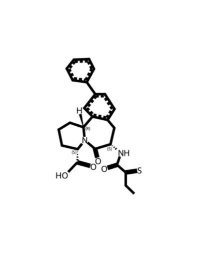 CCC(=S)C(=O)N[C@H]1Cc2ccc(-c3ccccc3)cc2[C@H]2CCC[C@@H](C(=O)O)N2C1=O